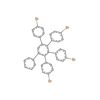 Brc1ccc(-c2cc(-c3ccccc3)c(-c3ccc(Br)cc3)c(-c3ccc(Br)cc3)c2-c2ccc(Br)cc2)cc1